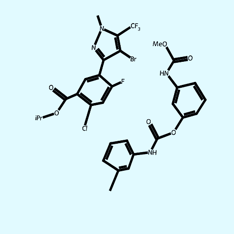 CC(C)OC(=O)c1cc(-c2nn(C)c(C(F)(F)F)c2Br)c(F)cc1Cl.COC(=O)Nc1cccc(OC(=O)Nc2cccc(C)c2)c1